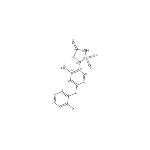 Cc1ccccc1Cc1ccc(N2CC(=O)NS2(=O)=O)c(O)c1